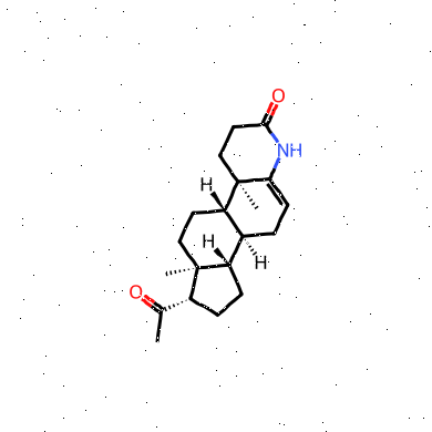 CC(=O)[C@H]1CC[C@H]2[C@@H]3CC=C4NC(=O)CC[C@]4(C)[C@H]3CC[C@]12C